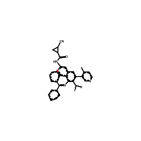 Cc1ccncc1-c1cc2cc(NC(=O)C3CC3C#N)ncc2c(N=C(c2ccccc2)c2ccccc2)c1C(F)F